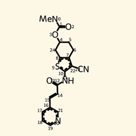 CNC(=O)OC1CCc2c(sc(NC(=O)C=Cc3cccnc3)c2C#N)C1